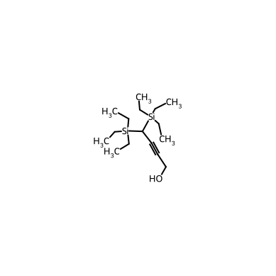 CC[Si](CC)(CC)C(C#CCO)[Si](CC)(CC)CC